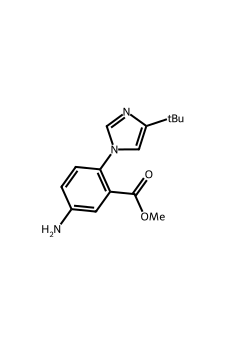 COC(=O)c1cc(N)ccc1-n1cnc(C(C)(C)C)c1